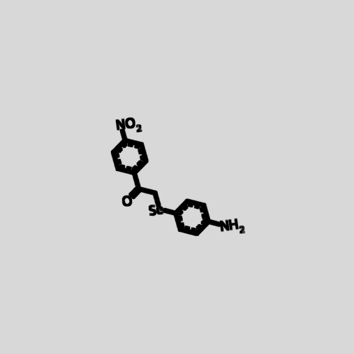 Nc1ccc([Se]CC(=O)c2ccc([N+](=O)[O-])cc2)cc1